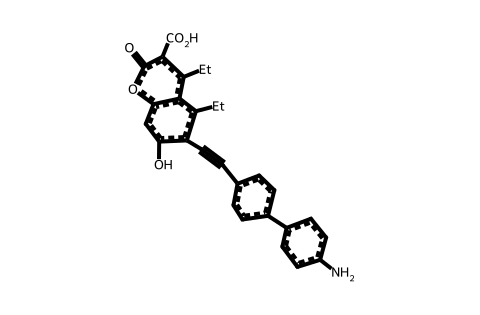 CCc1c(C#Cc2ccc(-c3ccc(N)cc3)cc2)c(O)cc2oc(=O)c(C(=O)O)c(CC)c12